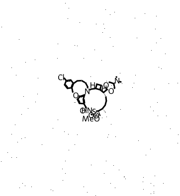 COC[C@@H]1[C@@H](C)CCC[C@@H]([C@H]2OC[C@H](N(C)C)CO2)[C@@H]2CC[C@H]2CN2CCCCc3cc(Cl)ccc3COc3ccc(cc32)C(=O)NS1(=O)=O